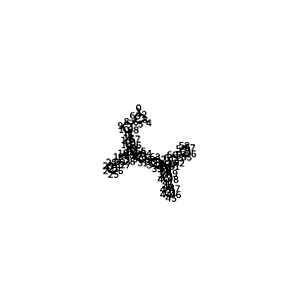 Cc1cc(C)cc(-c2cccc(-c3ccc(N(c4ccc(-c5ccccc5)cc4)c4ccc(-c5ccc(N(c6ccc(-c7ccccc7)cc6)c6ccc(-c7ccccc7)cc6)cc5)cc4)cc3)c2)c1